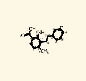 Cc1ccc(C(=O)O)c(N)c1CCc1ccccc1